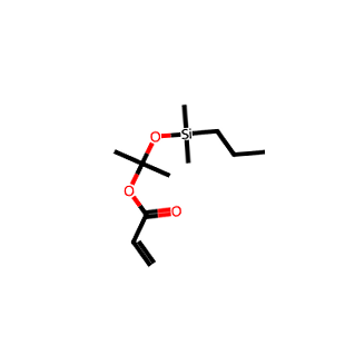 C=CC(=O)OC(C)(C)O[Si](C)(C)CCC